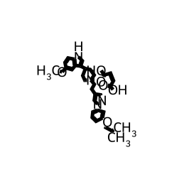 COc1ccc2[nH]cc(C3CCN(CCc4cnn(-c5cccc(OCC(C)C)c5)c4)CC3)c2c1.O=C(O)/C=C\C(=O)O